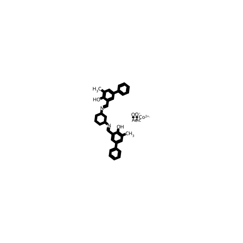 CC(=O)[O-].CC(=O)[O-].Cc1cc(-c2ccccc2)cc(C=NC2CCCC(N=Cc3cc(-c4ccccc4)cc(C)c3O)C2)c1O.[Co+2]